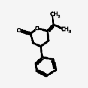 CC(C)=C1CC(c2ccccc2)CC(=O)O1